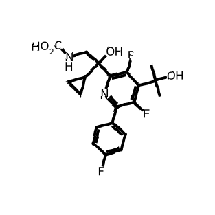 CC(C)(O)c1c(F)c(-c2ccc(F)cc2)nc(C(O)(CNC(=O)O)C2CC2)c1F